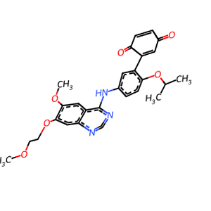 COCCOc1cc2ncnc(Nc3ccc(OC(C)C)c(C4=CC(=O)C=CC4=O)c3)c2cc1OC